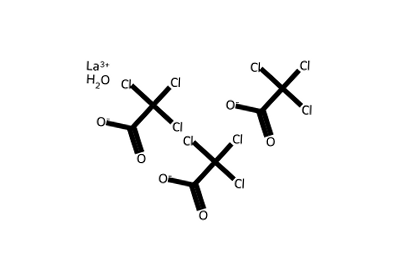 O.O=C([O-])C(Cl)(Cl)Cl.O=C([O-])C(Cl)(Cl)Cl.O=C([O-])C(Cl)(Cl)Cl.[La+3]